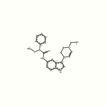 CCCCSN(C(=O)Nc1ccc2[nH]cc(C3C=CN(CC(C)C)CC3)c2c1)c1ccccc1